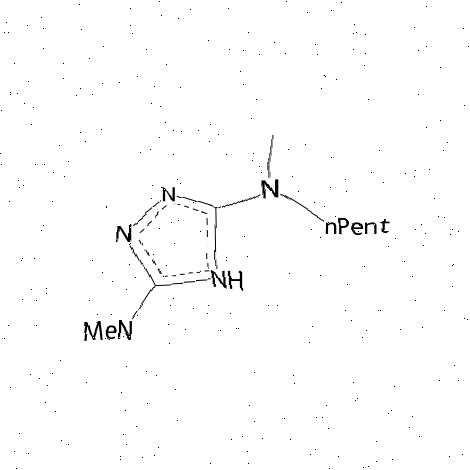 CCCCCN(C)c1nnc(NC)[nH]1